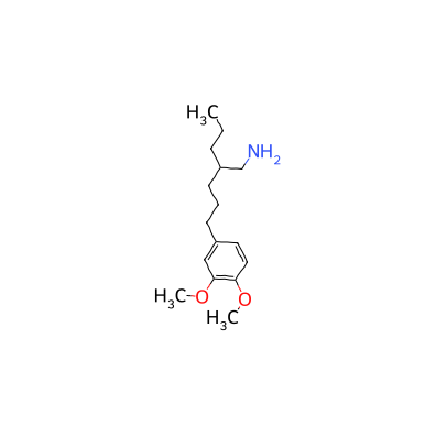 CCCC(CN)CCCc1ccc(OC)c(OC)c1